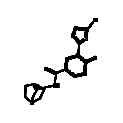 CCc1cnc(-n2cc(C(=O)NC3=C4CCN(CC4)C3)ccc2=O)s1